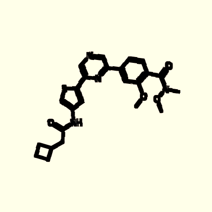 COc1cc(-c2cncc(-c3cc(NC(=O)CC4CCC4)cs3)n2)ccc1C(=O)N(C)OC